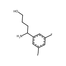 NC(CCCO)c1cc(F)cc(F)c1